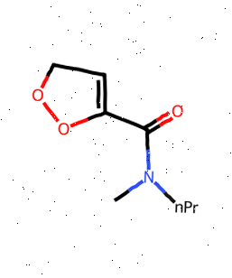 CCCN(C)C(=O)C1=CCOO1